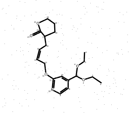 CCOC(OCC)c1ccnc(OC/C=C\CC2CCCOC2=O)c1